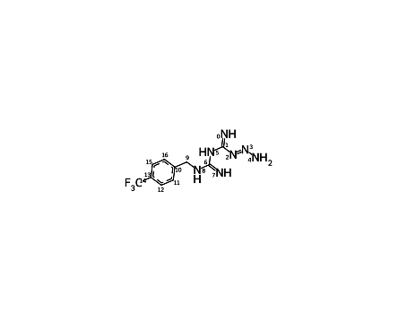 N=C(N=NN)NC(=N)NCc1ccc(C(F)(F)F)cc1